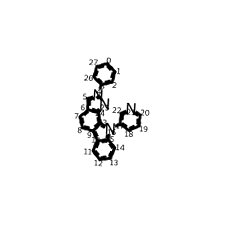 c1ccc(-n2cc3ccc4c5ccccc5n(-c5cccnc5)c4c3n2)cc1